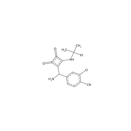 CCC(C)(C)Nc1c(C(N)c2ccc(C#N)c(Cl)c2)c(=O)c1=O